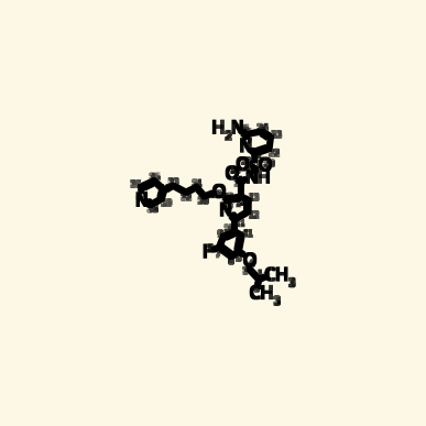 CC(C)COc1cc(F)cc(-c2ccc(C(=O)NS(=O)(=O)c3cccc(N)n3)c(OCCCCc3ccncc3)n2)c1